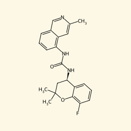 Cc1cc2c(NC(=O)N[C@@H]3CC(C)(C)Oc4c(F)cccc43)cccc2cn1